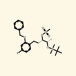 C[C@H](O[Si](C)(C)C(C)(C)C)[C@H](CCc1ccc(F)cc1OCc1ccccc1)OS(C)(=O)=O